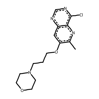 Cc1nc2c(Cl)ncnc2cc1OCCCN1CCOCC1